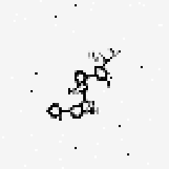 CN(C)CC(N)c1cc(F)cc(-c2cccc3[nH]c(-c4n[nH]c5ccc(-c6ccccn6)cc45)cc23)c1